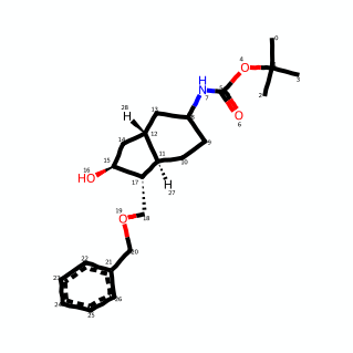 CC(C)(C)OC(=O)NC1CC[C@@H]2[C@@H](C1)C[C@H](O)[C@H]2COCc1ccccc1